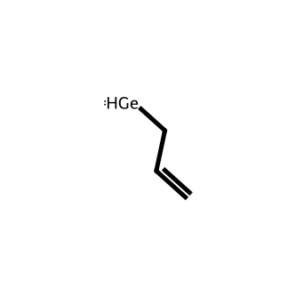 C=C[CH2][GeH]